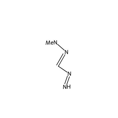 CNN=CN=N